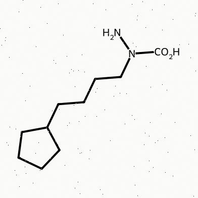 NN(CCCCC1CCCC1)C(=O)O